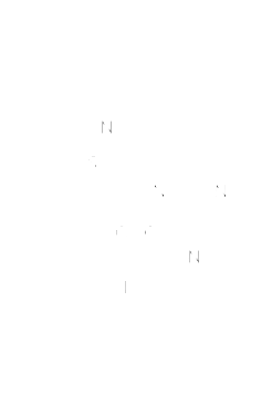 O=CC1c2c(N3CCC(CF)C3)ccnc2CN1CCc1nc2ccccc2s1